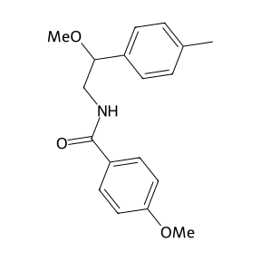 COc1ccc(C(=O)NCC(OC)c2ccc(C)cc2)cc1